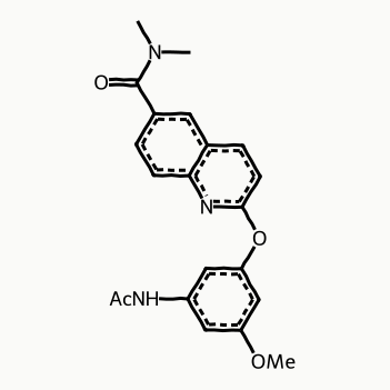 COc1cc(NC(C)=O)cc(Oc2ccc3cc(C(=O)N(C)C)ccc3n2)c1